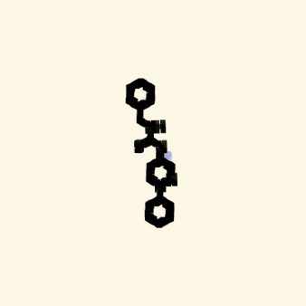 S=C(/N=c1\ccn(-c2ccccc2)nc1)NCc1ccccc1